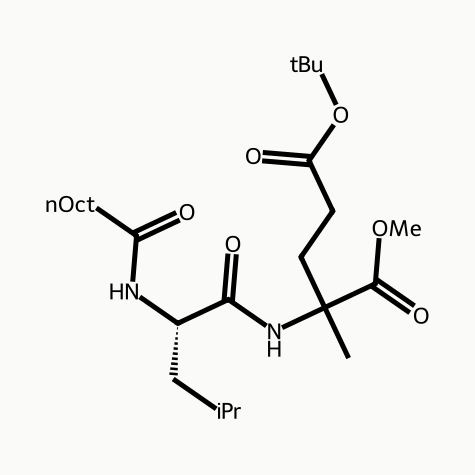 CCCCCCCCC(=O)N[C@@H](CC(C)C)C(=O)NC(C)(CCC(=O)OC(C)(C)C)C(=O)OC